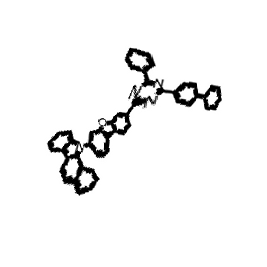 c1ccc(-c2ccc(-c3nc(-c4ccccc4)nc(-c4ccc5c(c4)oc4cc(-n6c7ccccc7c7ccc8ccccc8c76)ccc45)n3)cc2)cc1